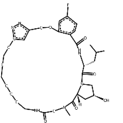 CC(C)C[C@H]1NC(=O)c2ccc(F)cc2OCc2cn(nn2)CCCCCCCCNC(=O)CN(C)C(=O)[C@H]2C[C@H](O)CN2C1=O